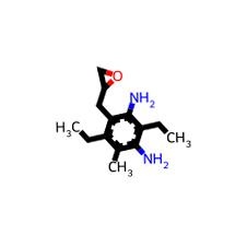 CCc1c(N)c(C)c(CC)c(CC2CO2)c1N